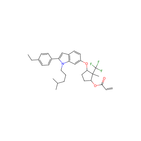 C=CC(=O)OC1CCC(Oc2ccc3cc(-c4ccc(CC)cc4)n(CCCC(C)C)c3c2)C1(C)C(F)(F)F